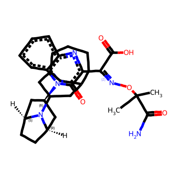 CC(C)(O/N=C(\C(=O)O)c1nc2ccccc2n([C@H]2C[C@H]3CC[C@@H](C2)N3C2CC3CCCCC(C3)C2)c1=O)C(N)=O